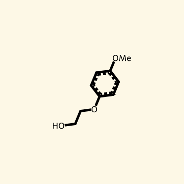 COc1c[c]c(OCCO)cc1